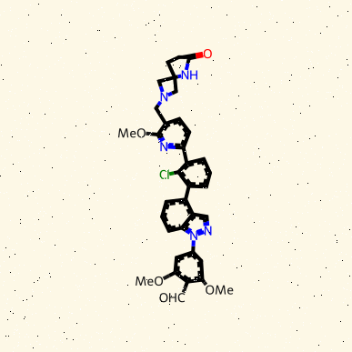 COc1cc(-n2ncc3c(-c4cccc(-c5ccc(CN6CC7(CCC(=O)N7)C6)c(OC)n5)c4Cl)cccc32)cc(OC)c1C=O